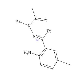 C=C(C)N(CC)/N=C(\CC)c1cc(C)ccc1N